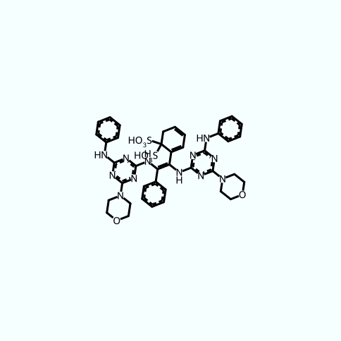 O=S(=O)(O)C1(S(=O)(=O)O)CC=CC=C1C(Nc1nc(Nc2ccccc2)nc(N2CCOCC2)n1)=C(Nc1nc(Nc2ccccc2)nc(N2CCOCC2)n1)c1ccccc1